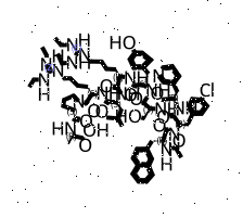 CC/N=C(/NCC)NCCCC[C@H](NC(=O)[C@H](CC(C)C)NC(=O)[C@@H](CCCCN/C(=N/CC)NCC)NC(=O)[C@H](Cc1ccc(O)cc1)NC(=O)[C@H](CO)NC(=O)[C@@H](Cc1cccnc1)NC(=O)[C@@H](Cc1ccc(Cl)cc1)NC(=O)[C@@H](Cc1ccc2ccccc2c1)NC(C)=O)C(=O)N1CCC[C@H]1C(=O)N[C@H](C)C(=O)O